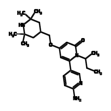 CCC(C)n1c(-c2ccc(N)nc2)cc(OCC2CC(C)(C)NC(C)(C)C2)cc1=O